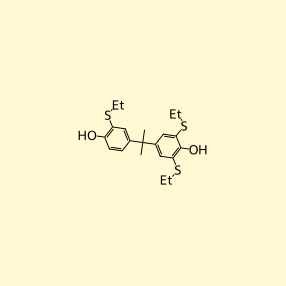 CCSc1cc(C(C)(C)c2cc(SCC)c(O)c(SCC)c2)ccc1O